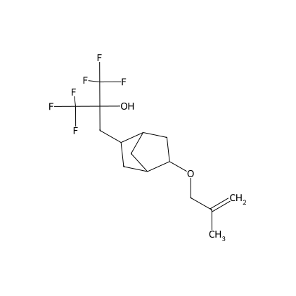 C=C(C)COC1CC2CC1CC2CC(O)(C(F)(F)F)C(F)(F)F